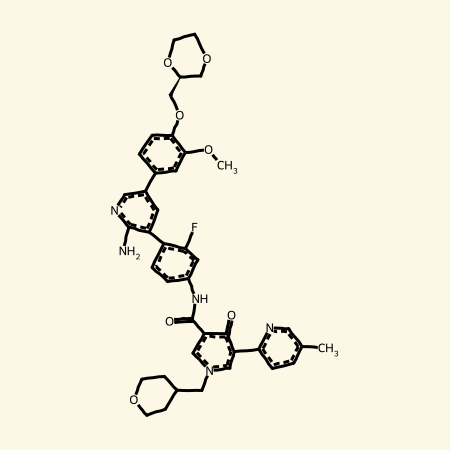 COc1cc(-c2cnc(N)c(-c3ccc(NC(=O)c4cn(CC5CCOCC5)cc(-c5ccc(C)cn5)c4=O)cc3F)c2)ccc1OC[C@@H]1COCCO1